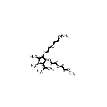 COCCOCCOC1C(C)N(C)C(C(C)C)[C@@H]1OCCOCCOC